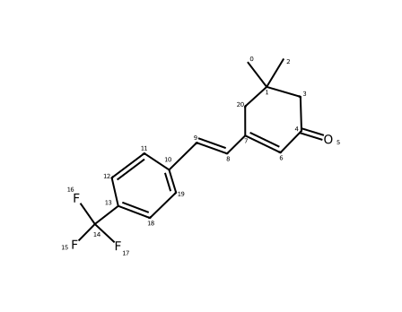 CC1(C)CC(=O)C=C(C=Cc2ccc(C(F)(F)F)cc2)C1